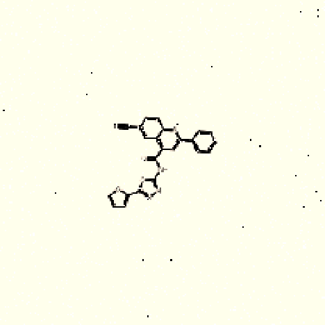 N#Cc1ccc2nc(-c3ccccc3)cc(C(=O)Nc3nnc(-c4ccco4)o3)c2c1